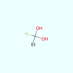 CCC(O)(O)[S]